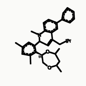 Cc1cc(C)c([C@@H]2COC(C)CC(C)O2)c(C2C=C(CC(C)C)c3cc(-c4ccccc4)ccc3N2C)c1